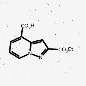 CCOC(=O)c1cc2c(C(=O)O)cccn2n1